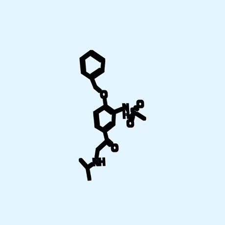 CC(C)NCC(=O)c1ccc(OCc2ccccc2)c(NS(C)(=O)=O)c1